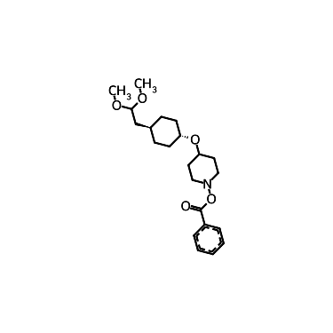 COC(C[C@H]1CC[C@H](OC2CCN(OC(=O)c3ccccc3)CC2)CC1)OC